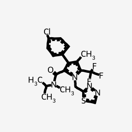 Cc1c(-c2ccc(Cl)cc2)c(C(=O)N(C)C(C)C)n(Cc2nncs2)c1C(F)(F)F